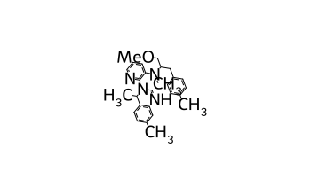 COCC(Cc1ccc(C)cc1)N(C)c1cccnc1N(C=N)C(C)c1ccc(C)cc1